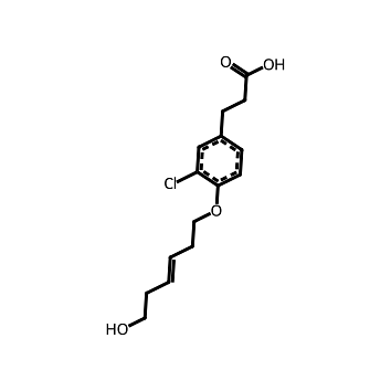 O=C(O)CCc1ccc(OCC/C=C/CCO)c(Cl)c1